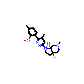 Cc1ccc(-c2nnc(N3CC[C@H]4CCN(C)C[C@H]43)cc2C)c(O)c1